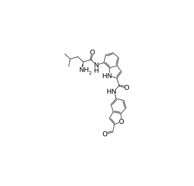 CC(C)C[C@H](N)C(=O)Nc1cccc2cc(C(=O)Nc3ccc4oc(C=O)cc4c3)[nH]c12